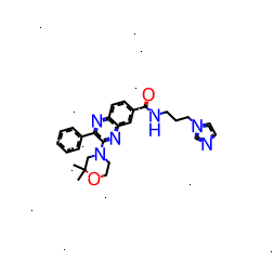 CC1(C)CN(c2nc3cc(C(=O)NCCCn4ccnc4)ccc3nc2-c2ccccc2)CCO1